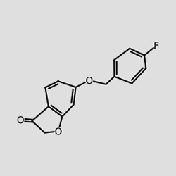 O=C1COc2cc(OCc3ccc(F)cc3)ccc21